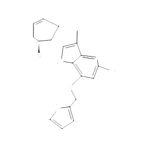 Cc1c([C@H]2CC=CC[C@@H]2N)sc2c(NCc3ccco3)cc(C#N)nc12